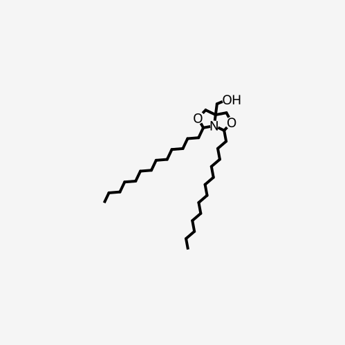 CCCCCCCCCCCCCC1OCC2(CO)COC(CCCCCCCCCCCCC)N12